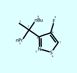 CCCCC(C)(CCC)c1nscc1F